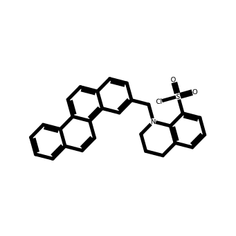 O=S(=O)(Cl)c1cccc2c1N(Cc1ccc3ccc4c5ccccc5ccc4c3c1)CCC2